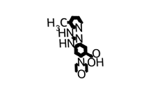 Cc1cccnc1Nc1nc2cc(C(=O)O)c(N3CCOCC3)cc2[nH]1